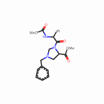 COC(=O)NC(C(=O)N1CN(Cc2ccccc2)CC1C(=O)OC)C(C)C